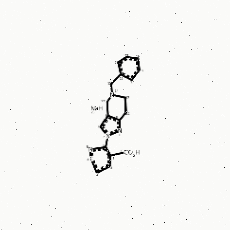 O=C(O)c1cccnc1-n1cc2c(n1)CCN(Cc1ccccc1)C2.[NaH]